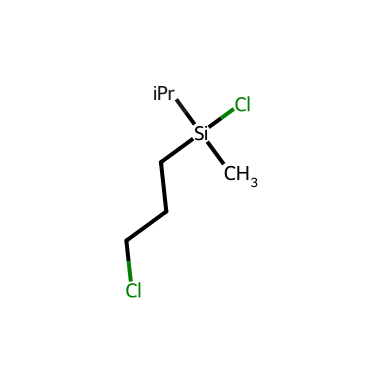 CC(C)[Si](C)(Cl)CCCCl